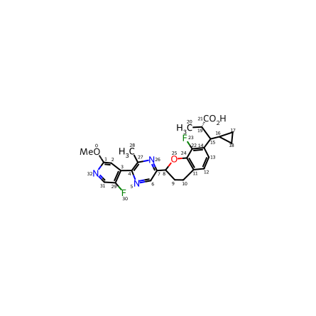 COc1cc(-c2ncc(C3CCc4ccc(C(C5CC5)[C@H](C)C(=O)O)c(F)c4O3)nc2C)c(F)cn1